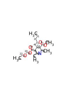 CCCCCc1c(C(=O)OC)c(C)nc(C)c1C(=O)OCOCC